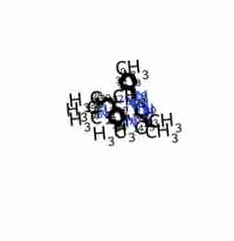 Cc1ccc(-c2nc3n(n2)N=C(C(C)(C)C)/C3=N/c2cc3c(cc2C)N(C)C(C)(C)CC3C)cc1